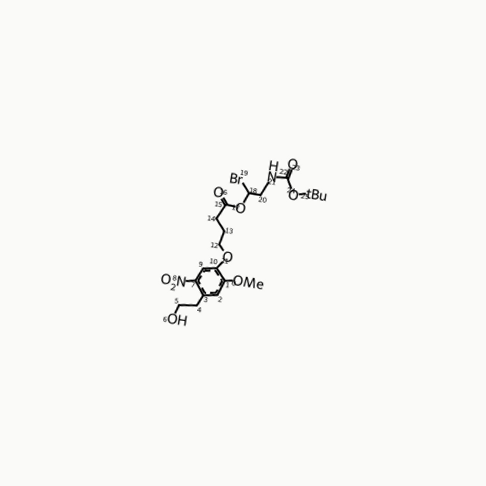 COc1cc(CCO)c([N+](=O)[O-])cc1OCCCC(=O)OC(Br)CNC(=O)OC(C)(C)C